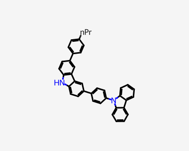 CCCc1ccc(-c2ccc3[nH]c4ccc(-c5ccc(-n6c7ccccc7c7ccccc76)cc5)cc4c3c2)cc1